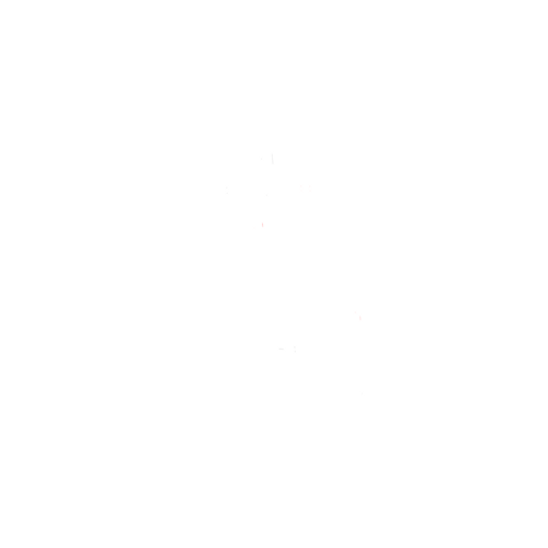 FC(F)(F)C(OC1COC(C(F)(F)F)(C(F)(F)F)OC1)C(F)(F)F